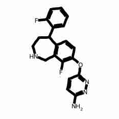 Nc1ccc(Oc2ccc3c(c2F)CNCCC3c2ccccc2F)nn1